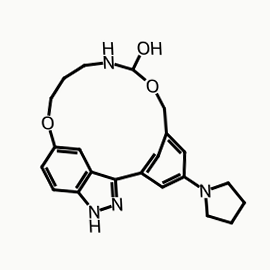 OC1NCCCOc2ccc3[nH]nc(c3c2)-c2cc(cc(N3CCCC3)c2)CO1